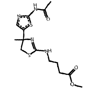 COC(=O)CCCNC1=NC(C)(c2cnc(NC(C)=O)s2)CS1